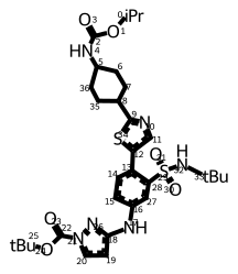 CC(C)OC(=O)NC1CCC(c2ncc(-c3ccc(Nc4ccn(C(=O)OC(C)(C)C)n4)cc3S(=O)(=O)NC(C)(C)C)s2)CC1